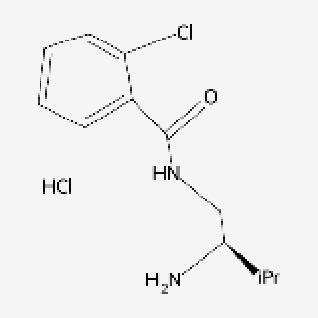 CC(C)[C@@H](N)CNC(=O)c1ccccc1Cl.Cl